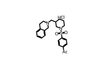 CC(=O)c1ccc(S(=O)(=O)N2CCCC(CN3CCc4ccccc4C3)C2)cc1.Cl